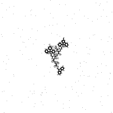 Cc1ccc(C(NCCCC[C@H](NC(=O)CN)C(=O)NCC(=O)N[C@@H](CCCCNC(c2ccccc2)(c2ccccc2)c2ccc(C)cc2)C(=O)NCC(=O)C(=O)OCC2c3ccccc3-c3ccccc32)(c2ccccc2)c2ccccc2)cc1